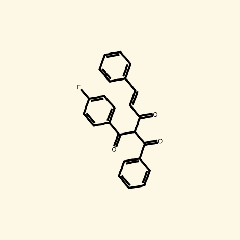 O=C(C=Cc1ccccc1)C(C(=O)c1ccccc1)C(=O)c1ccc(F)cc1